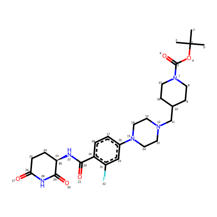 CC(C)(C)OC(=O)N1CCC(CN2CCN(c3ccc(C(=O)N[C@@H]4CCC(=O)NC4=O)c(F)c3)CC2)CC1